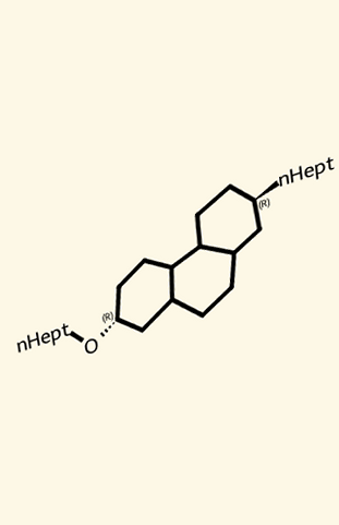 CCCCCCCO[C@@H]1CCC2C(CCC3C[C@H](CCCCCCC)CCC32)C1